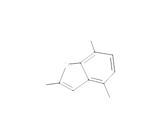 Cc1cc2c(Cl)ccc(Cl)c2[nH]1